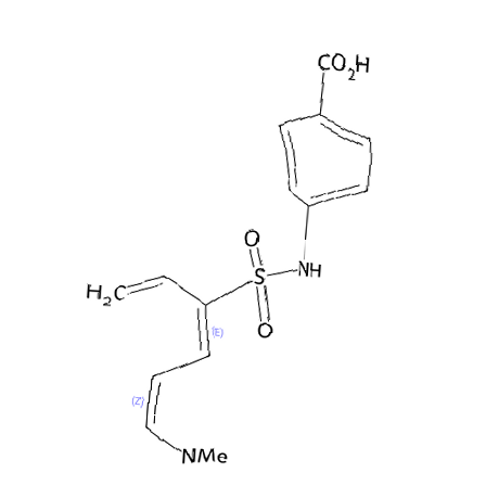 C=C/C(=C\C=C/NC)S(=O)(=O)Nc1ccc(C(=O)O)cc1